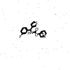 O=C(NC(c1ccsc1)c1cccc(F)c1)OC1CN2CCC1CC2